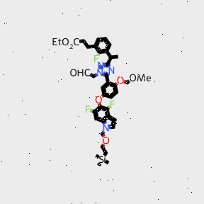 CCOC(=O)CCc1cccc(C(C)c2nc(-c3cc(Oc4c(F)cc5c(ccn5COCC[Si](C)(C)C)c4F)ccc3OCOC)n(CC=O)n2)c1F